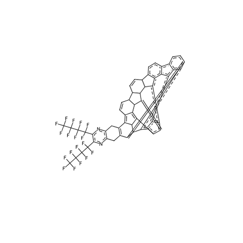 FC(F)(F)C(F)(F)C(F)(F)C(F)(F)c1nc2c(nc1C(F)(F)C(F)(F)C(F)(F)C(F)(F)F)CC1=C(C2)C2=C3C=CC4C5C3=C3c6c7c8c9c%10c(ccc%11c%12ccc%13c%14c(c6c8c(c%10%11)c%14%12)C(C=%131)C23)C1C=CC4C(C=75)C91